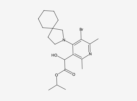 Cc1nc(C)c(C(O)C(=O)OC(C)C)c(N2CCC3(CCCCC3)C2)c1Br